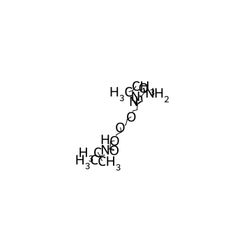 CC(C)n1nc(CCOCCOCCOCC(=O)NCC(C)(C)C)cc1C(N)=O